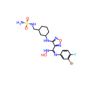 NS(=O)(=O)NCC1CCCC(Nc2nonc2C(=Nc2ccc(F)c(Br)c2)NO)C1